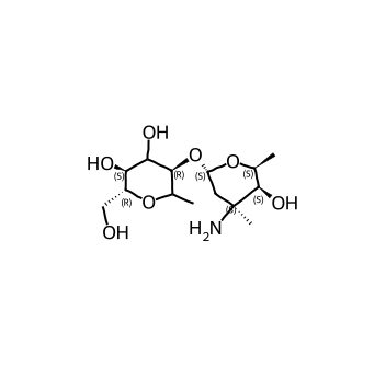 CC1O[C@H](CO)[C@@H](O)C(O)[C@H]1O[C@H]1C[C@](C)(N)[C@H](O)[C@H](C)O1